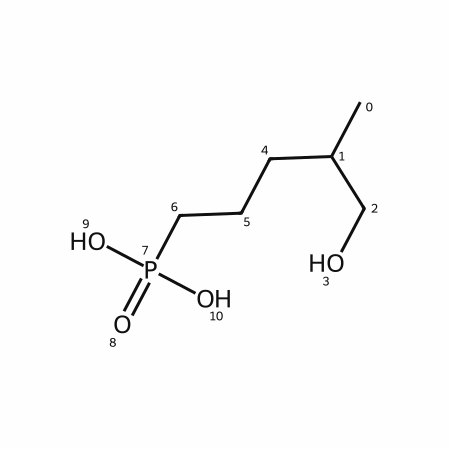 CC(CO)CCCP(=O)(O)O